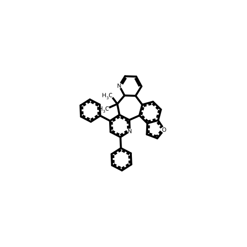 CC1(C)c2c(-c3ccccc3)cc(-c3ccccc3)nc2-c2c(ccc3occc23)C2C=CC=NC21